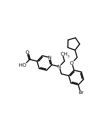 CCN(Cc1cc(Br)ccc1OCC1CCCC1)c1ccc(C(=O)O)cn1